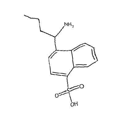 CCCC(N)c1ccc(S(=O)(=O)O)c2ccccc12